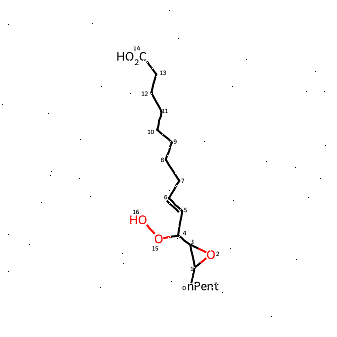 CCCCCC1OC1C(C=CCCCCCCCC(=O)O)OO